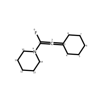 FC(=C=C1CCCCC1)N1CCCCC1